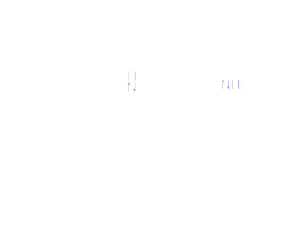 [NH]CCNC1CCCCC1